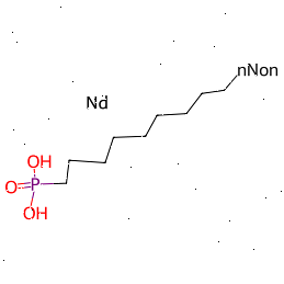 CCCCCCCCCCCCCCCCCCP(=O)(O)O.[Nd]